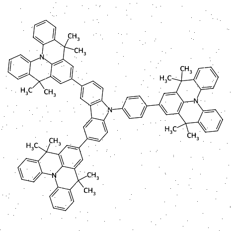 CC1(C)c2ccccc2N2c3ccccc3C(C)(C)c3cc(-c4ccc(-n5c6ccc(-c7cc8c9c(c7)C(C)(C)c7ccccc7N9c7ccccc7C8(C)C)cc6c6cc(-c7cc8c9c(c7)C(C)(C)c7ccccc7N9c7ccccc7C8(C)C)ccc65)cc4)cc1c32